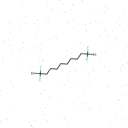 CCC(F)(F)CCCCCCCCC(F)(F)CC